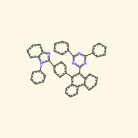 c1ccc(-c2nc(-c3ccccc3)nc(-c3c(-c4ccc(-c5nc6ccccc6n5-c5ccccc5)cc4)c4ccccc4c4ccccc34)n2)cc1